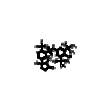 CN1C(=O)CCC1(O)c1ccc(C(F)(F)F)c(S(=O)(=O)Nc2cc(C(C)(C)C)c(O)c(C(C)(C)C)c2)c1